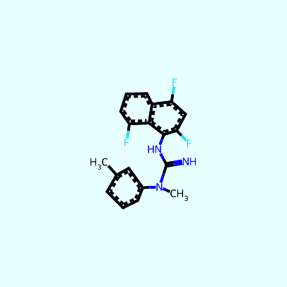 Cc1cccc(N(C)C(=N)Nc2c(F)cc(F)c3cccc(F)c23)c1